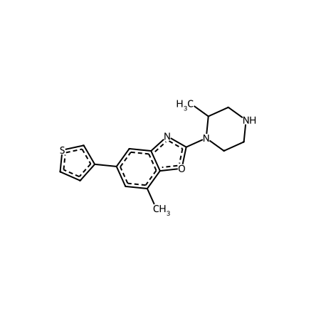 Cc1cc(-c2ccsc2)cc2nc(N3CCNCC3C)oc12